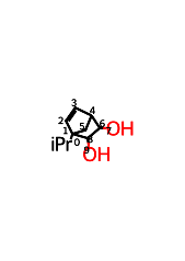 CC(C)C12C=CC(C1)C(O)C2O